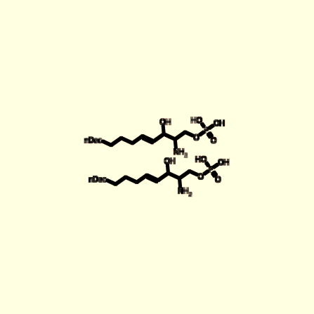 CCCCCCCCCCCCC/C=C/C(O)C(N)COP(=O)(O)O.CCCCCCCCCCCCC/C=C/C(O)C(N)COP(=O)(O)O